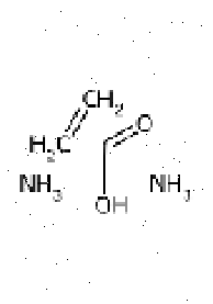 C=C.N.N.O=CO